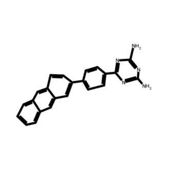 Nc1nc(N)nc(-c2ccc(-c3ccc4cc5ccccc5cc4c3)cc2)n1